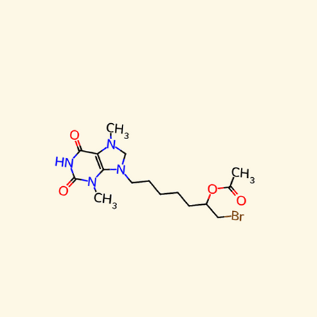 CC(=O)OC(CBr)CCCCCN1CN(C)c2c1n(C)c(=O)[nH]c2=O